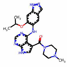 CC(C)Oc1cc2[nH]ncc2cc1Nc1ncnc2[nH]cc(C(=O)N3CCN(C)CC3)c12